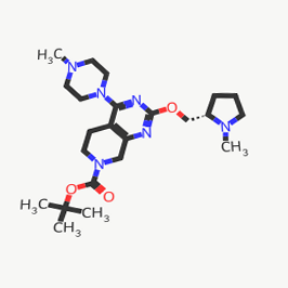 CN1CCN(c2nc(OC[C@@H]3CCCN3C)nc3c2CCN(C(=O)OC(C)(C)C)C3)CC1